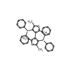 Cc1sc(C)c(P(c2ccccc2)c2ccccc2)c1-c1c(C)sc(C)c1P(c1ccccc1)c1ccccc1